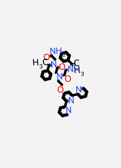 C[C@H](NCC(=O)N(CCOc1cc(-c2ccccn2)nc(-c2ccccn2)c1)CC(=O)N(CC(N)=O)[C@@H](C)c1ccccc1)c1ccccc1